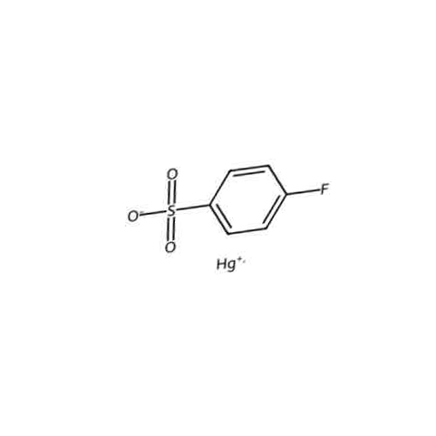 O=S(=O)([O-])c1ccc(F)cc1.[Hg+]